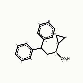 O=C(O)N(CC(c1ccccc1)c1ccccc1)C1CC1